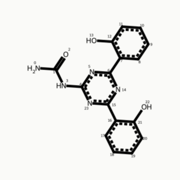 NC(=O)Nc1nc(-c2ccccc2O)nc(-c2ccccc2O)n1